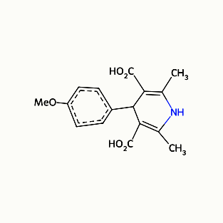 COc1ccc(C2C(C(=O)O)=C(C)NC(C)=C2C(=O)O)cc1